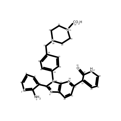 Nc1ncccc1-c1nc2ccc(-c3ccc[nH]c3=O)nc2n1-c1ccc(CN2CCN(C(=O)O)CC2)cc1